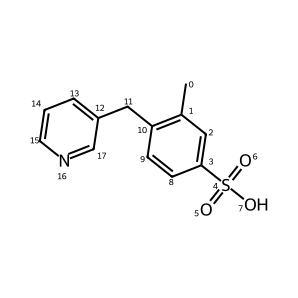 Cc1cc(S(=O)(=O)O)ccc1Cc1cccnc1